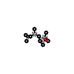 c1ccc(-c2nc(-c3ccc4c(c3)c3ccccc3n4-c3ccccc3)nc(-c3ccc4c(c3)c3ccc5c6ccccc6n(-c6ccccc6)c5c3n4-c3nc(-c4ccccc4)nc(-c4ccccc4)n3)n2)cc1